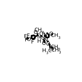 COCC(NC(=O)N1CC(=O)N(COCC[Si](C)(C)C)c2cc(OC)cnc21)c1ccc(OC(F)(F)F)c(F)c1